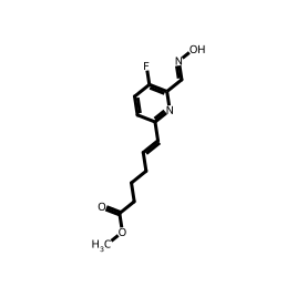 COC(=O)CCC/C=C/c1ccc(F)c(/C=N/O)n1